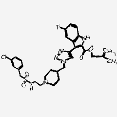 CC(C)COC(=O)c1[nH]c2ccc(F)cc2c1-c1cn(CC2CCN(CCNS(=O)(=O)Cc3cccc(Cl)c3)CC2)nn1